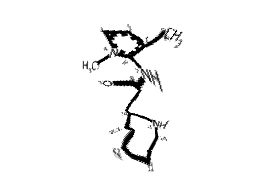 Cc1ccn(C)c1NC(=O)C1CCCCN1